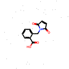 O=C(O)c1ccccc1CN1C(=O)C=CC1=O